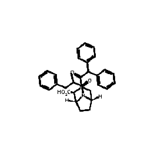 CC(Cc1ccccc1)C(=O)N1[C@H]2CC[C@@H]1[C@@H](C(=O)O)N(C(=O)C(c1ccccc1)c1ccccc1)C2